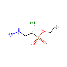 CC(C)(C)COS(=O)(=O)CCNN.Cl